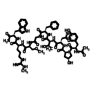 CNC(=N)NCCC[C@H](NC(=O)[C@H](COC)NC(=O)CNC(=O)[C@H](Cc1ccccc1)NC(=O)[C@@H](NC(=O)[C@H](CC(N)=O)NC(=O)[C@@H]1C[C@@H](O)CN1C(=O)[C@@H](Cc1ccc(O)cc1)NC(C)=O)[C@@H](C)O)C(=O)N[C@@H](Cc1c[nH]c2ccccc12)C(N)=O